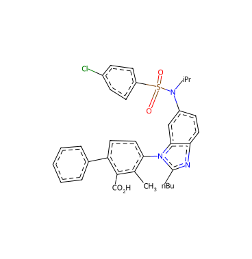 CCCCc1nc2ccc(N(C(C)C)S(=O)(=O)c3ccc(Cl)cc3)cc2n1-c1ccc(-c2ccccc2)c(C(=O)O)c1C